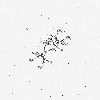 C=CCCCN(CCCC=C)c1nc(N(COC)COCC=C)nc(N(COCC=C)COCCC[Si](C)(C)O[Si](C)(C)CCOCN(COCC=C)c2nc(N(COC)COCC=C)nc(N(COCC=C)COCC=C)n2)n1